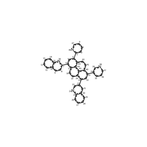 c1ccc(-c2cc(-c3ccc4ccccc4n3)c3ccc4c(-c5cnc6ccccc6c5)cc(-c5cccnc5)c5ccc2c3c54)nc1